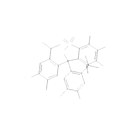 Cc1cc(C2(c3cc(C)c(O)cc3C(C)C)OS(=O)(=O)c3c(Br)c(Br)c(Br)c(Br)c32)c(C(C)C)cc1O